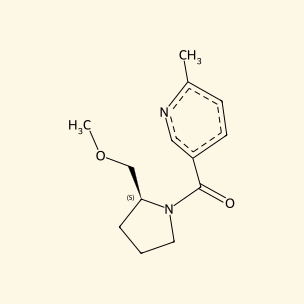 COC[C@@H]1CCCN1C(=O)c1ccc(C)nc1